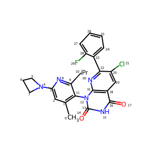 Cc1cc(N2CCC2)nc(C(C)C)c1-n1c(=O)[nH]c(=O)c2cc(Cl)c(-c3ccccc3F)nc21